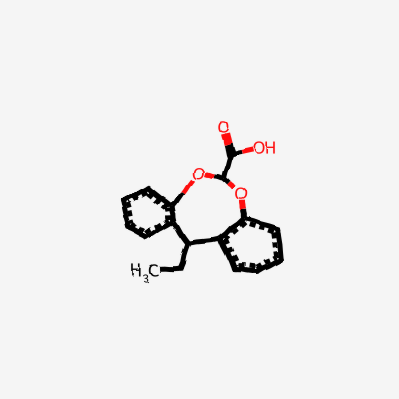 CCC1c2ccccc2OC(C(=O)O)Oc2ccccc21